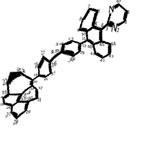 c1cnc(-c2c3ccccc3c(-c3ccc(-c4ccc(-c5ccc6ccc7cccc8ccc5c6c78)cc4)cc3)c3ccccc23)nc1